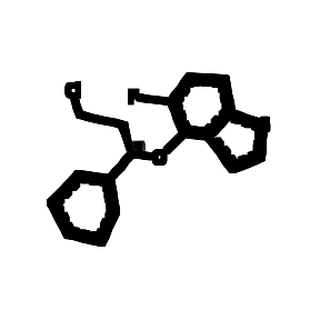 Fc1ccc2sccc2c1O[C@H](CCCl)c1ccccc1